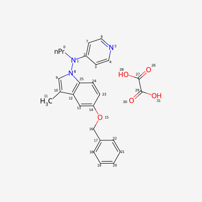 CCCN(c1ccncc1)n1cc(C)c2cc(OCc3ccccc3)ccc21.O=C(O)C(=O)O